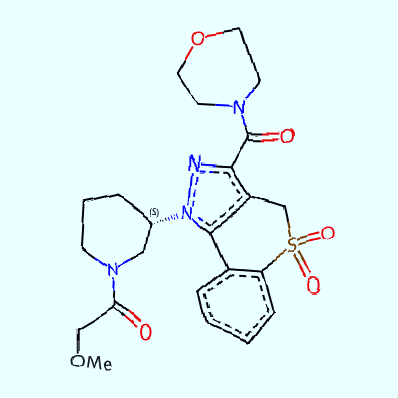 COCC(=O)N1CCC[C@H](n2nc(C(=O)N3CCOCC3)c3c2-c2ccccc2S(=O)(=O)C3)C1